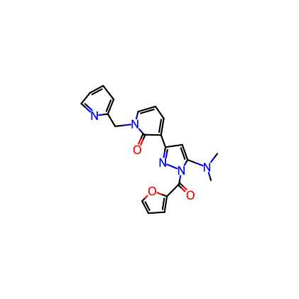 CN(C)c1cc(-c2cccn(Cc3ccccn3)c2=O)nn1C(=O)c1ccco1